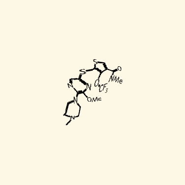 CNC(=O)c1csc(Sc2cnc(N3CCN(C)CC3)c(OC)n2)c1OC(F)(F)F